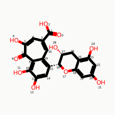 O=C(O)c1cc(O)c(=O)c2c(O)c(O)cc([C@H]3Oc4cc(O)cc(O)c4C[C@H]3O)c2c1